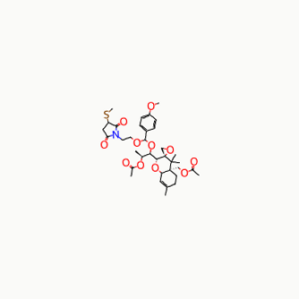 COc1ccc(C(OCCN2C(=O)CC(SC)C2=O)O[C@H]([C@H](C)OC(C)=O)[C@H]2OC3C=C(C)CC[C@]3(COC(C)=O)C(C)(C)[C@]23CO3)cc1